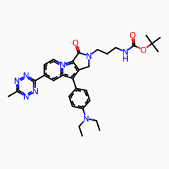 CCN(CC)c1ccc(-c2c3c(n4ccc(-c5nnc(C)nn5)cc24)C(=O)N(CCCNC(=O)OC(C)(C)C)C3)cc1